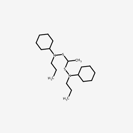 CCCN(SC(C)SN(CCC)C1CCCCC1)C1CCCCC1